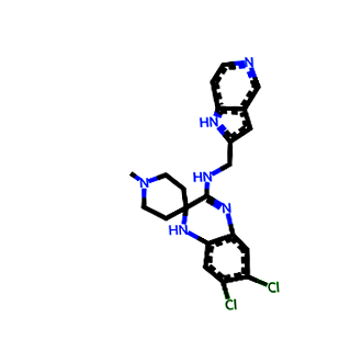 CN1CCC2(CC1)Nc1cc(Cl)c(Cl)cc1N=C2NCc1cc2cnccc2[nH]1